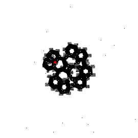 c1ccc(C(=C2C(=C(c3ccccc3)c3ccccc3)C(n3c4ccccc4c4ccccc43)=C2n2c3ccccc3c3ccccc32)c2ccccc2)cc1